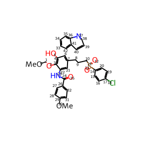 COCOc1c(O)cc(CCCS(=O)(=O)c2ccc(Cl)cc2)cc1NC(=O)c1ccc(OC)cc1.c1ccc2ncccc2c1